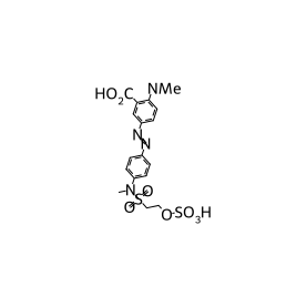 CNc1ccc(/N=N/c2ccc(N(C)S(=O)(=O)CCOS(=O)(=O)O)cc2)cc1C(=O)O